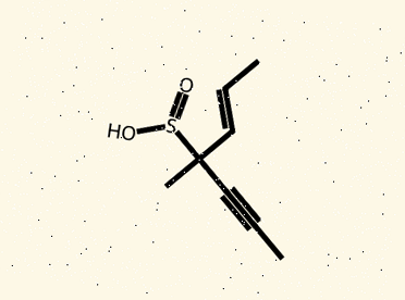 CC#CC(C)(C=CC)S(=O)O